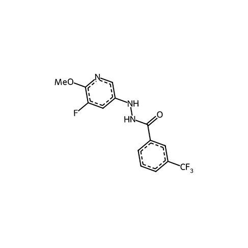 COc1ncc(NNC(=O)c2cccc(C(F)(F)F)c2)cc1F